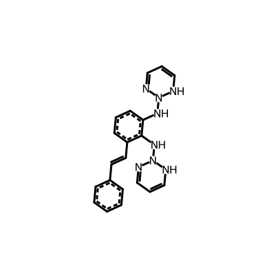 C1=CNN(Nc2cccc(C=Cc3ccccc3)c2NN2N=CC=CN2)N=C1